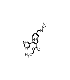 CCOC(=O)c1cc2cc(CN=[N+]=[N-])ccn2c1-c1cncnc1